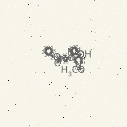 CC(=O)N1CCC(O)(c2nccnc2OC2CN(C(=O)OCc3ccccc3)C2)CC1